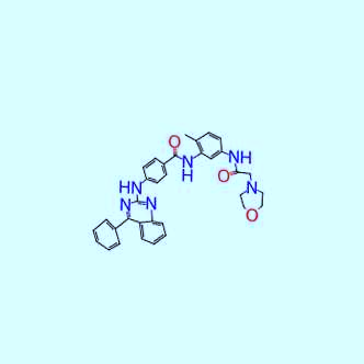 Cc1ccc(NC(=O)CN2CCOCC2)cc1NC(=O)c1ccc(Nc2nc(-c3ccccc3)c3ccccc3n2)cc1